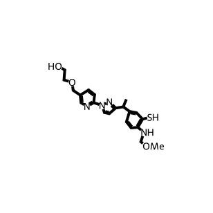 COCNc1ccc(C(C)c2ccn(-c3ccc(COCCO)cn3)n2)cc1S